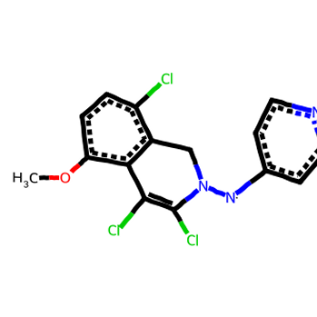 COc1ccc(Cl)c2c1C(Cl)=C(Cl)N([N]c1ccncc1)C2